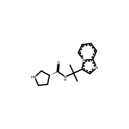 CC(C)(NC(=O)[C@@H]1CCNC1)c1cnc2ccccn12